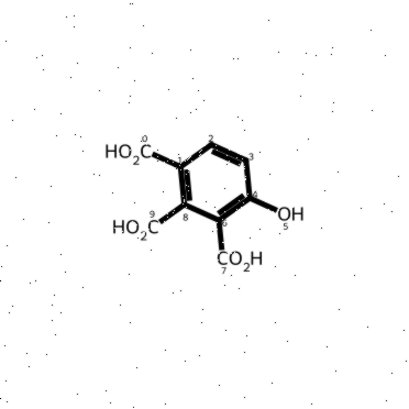 O=C(O)c1ccc(O)c(C(=O)O)c1C(=O)O